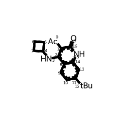 CC(=O)c1c(NC2CCC2)c2ccc(C(C)(C)C)cc2[nH]c1=O